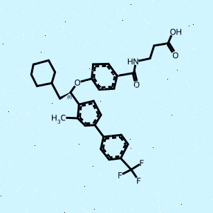 Cc1cc(-c2ccc(C(F)(F)F)cc2)ccc1[C@@H](CC1CCCCC1)Oc1ccc(C(=O)NCCC(=O)O)cc1